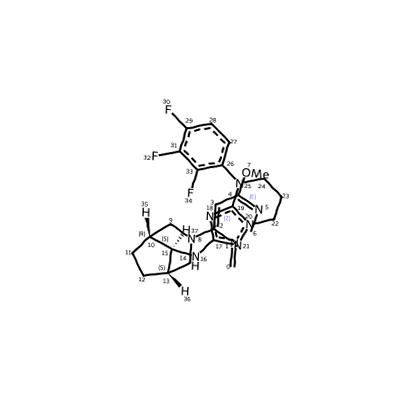 C=N/C(=C\C(=N/C)OC)N1C[C@H]2CC[C@@H](C1)[C@@H]2Nc1nc2n(n1)CCCN2c1ccc(F)c(F)c1F